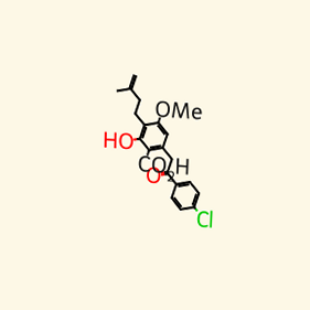 C=C(C)CCc1c(OC)cc(CC(=O)c2ccc(Cl)cc2)c(C(=O)O)c1O